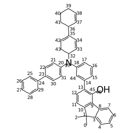 CC1(C)c2ccccc2-c2c1ccc(-c1cccc(N(c3ccc(-c4ccccc4)cc3)C3C=CC(C4C=CCCC4)=CC3)c1)c2O